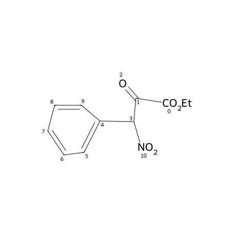 CCOC(=O)C(=O)C(c1ccccc1)[N+](=O)[O-]